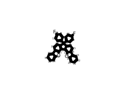 Fc1ccc(C2(c3ccc(F)cc3)c3ccc4c(oc5ccccc54)c3-c3c2ccc2c3oc3ccccc32)cc1